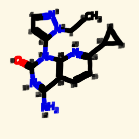 CCn1nccc1-n1c(=O)nc(N)c2ccc(C3CC3)nc21